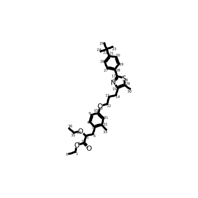 CCOC(=O)C(Cc1ccc(OCCCc2nc(-c3ccc(C(C)(C)C)cc3)sc2C)cc1C)OCC